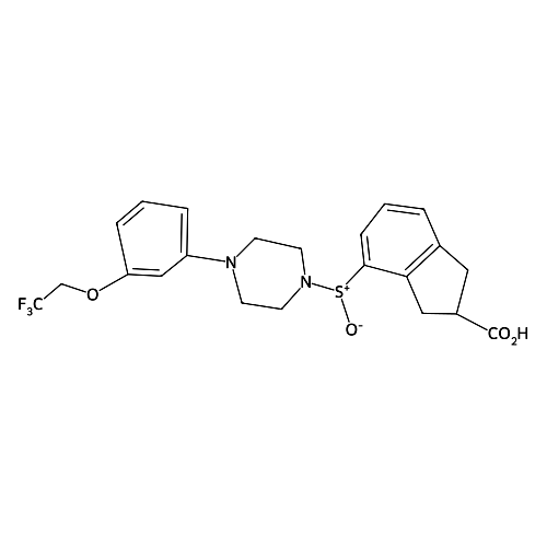 O=C(O)C1Cc2cccc([S+]([O-])N3CCN(c4cccc(OCC(F)(F)F)c4)CC3)c2C1